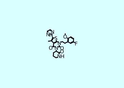 COc1ccc(F)cc1CCn1c(=O)n(C2CCCNC2=O)c(=O)c2c(C)c(-n3nccn3)sc21